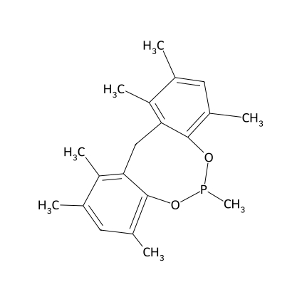 Cc1cc(C)c2c(c1C)Cc1c(C)c(C)cc(C)c1OP(C)O2